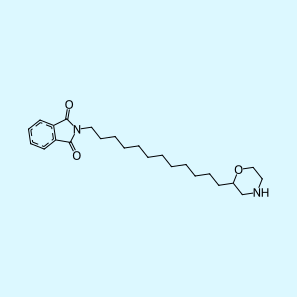 O=C1c2ccccc2C(=O)N1CCCCCCCCCCCCC1CNCCO1